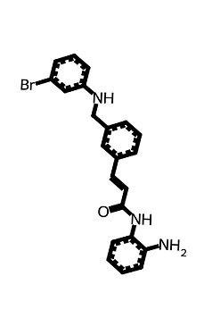 Nc1ccccc1NC(=O)/C=C/c1cccc(CNc2cccc(Br)c2)c1